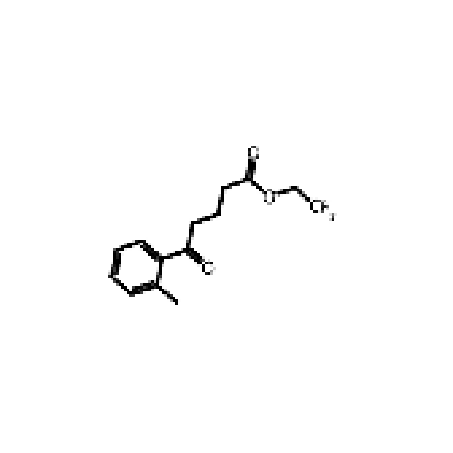 Cc1ccccc1C(=O)CCCC(=O)OCC(F)(F)F